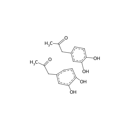 CC(=O)Cc1ccc(O)c(O)c1.CC(=O)Cc1ccc(O)c(O)c1